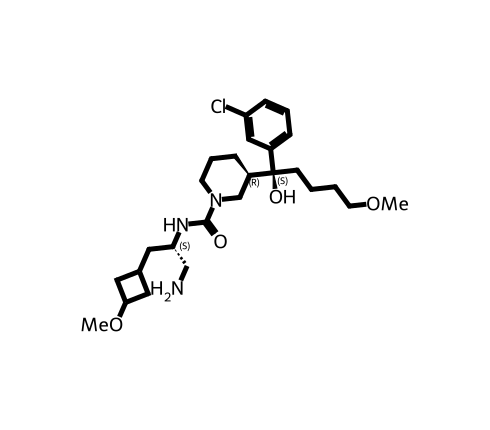 COCCCC[C@@](O)(c1cccc(Cl)c1)[C@@H]1CCCN(C(=O)N[C@H](CN)CC2CC(OC)C2)C1